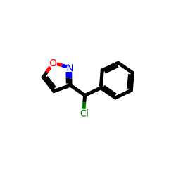 ClC(c1ccccc1)c1ccon1